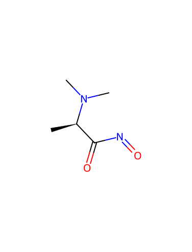 C[C@H](C(=O)N=O)N(C)C